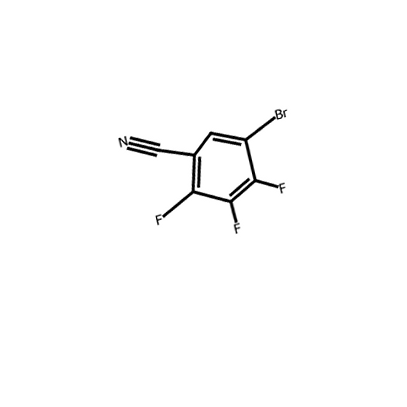 N#Cc1cc(Br)c(F)c(F)c1F